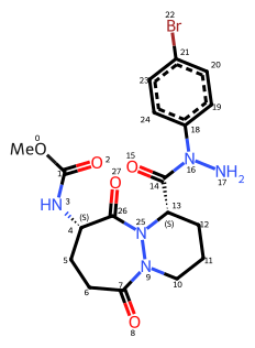 COC(=O)N[C@H]1CCC(=O)N2CCC[C@@H](C(=O)N(N)c3ccc(Br)cc3)N2C1=O